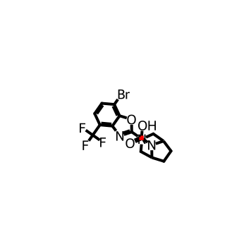 O=C(O)N1C2CCC1CN(c1nc3c(C(F)(F)F)ccc(Br)c3o1)C2